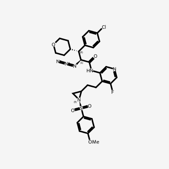 COc1ccc(S(=O)(=O)[N@@]2CC2CCc2c(F)cncc2NC(=O)[C@@H](N=[N+]=[N-])[C@@H](c2ccc(Cl)cc2)C2CCOCC2)cc1